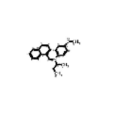 CCC(C)N(Cc1cccc2ccccc12)c1ccc(OC)cc1